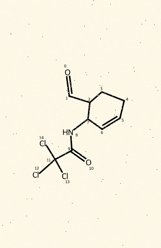 O=CC1CCC=CC1NC(=O)C(Cl)(Cl)Cl